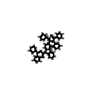 c1ccc(-c2nc(-n3c4ccccc4c4c5c6ccccc6n6c(-c7ccccc7)nc(-c7ccccc7)c6c5ccc43)nc3ccccc23)cc1